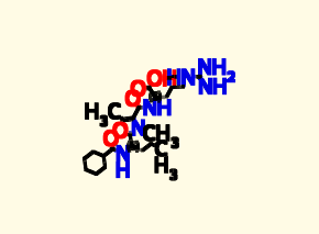 Cc1oc([C@H](CC(C)C)NC(=O)C2CCCCC2)nc1C(=O)N[C@@H](CCCNC(=N)N)C(=O)O